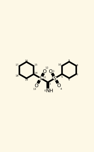 N=C(S(=O)(=O)C1CCCCC1)S(=O)(=O)C1CCCCC1